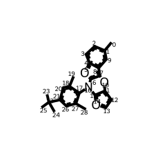 Cc1ccc2oc3c(c2c1)Oc1ccoc1N3c1c(C)cc(C(C)(C)C)cc1C